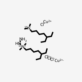 CCC(CC)CCCC[15N+](C)(C)NN.CCC(CC)CCCC[15N](C)C.[Cl-].[Cl-].[Cl-].[Cl-].[Cu+2].[Cu+2]